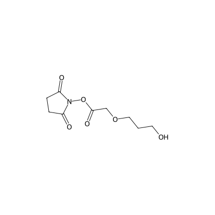 O=C(COCCCO)ON1C(=O)CCC1=O